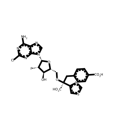 Nc1nc(Cl)nc2c1ncn2[C@@H]1O[C@H](CO[C@](Cc2ccc(C(=O)O)cc2)(C(=O)O)c2cscn2)[C@@H](O)[C@@H]1F